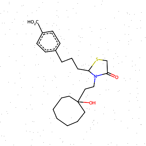 O=C(O)c1ccc(CCCC2SCC(=O)N2CCC2(O)CCCCCCC2)cc1